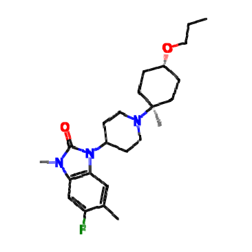 CCCO[C@H]1CC[C@](C)(N2CCC(n3c(=O)n(C)c4cc(F)c(C)cc43)CC2)CC1